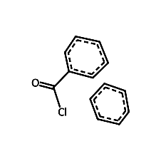 O=C(Cl)c1ccccc1.c1ccccc1